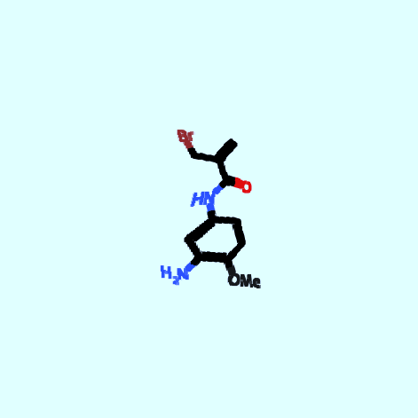 C=C(CBr)C(=O)Nc1ccc(OC)c(N)c1